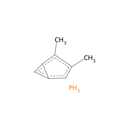 Cc1cc2cc-2c1C.P